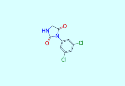 O=C1CNC(=O)N1c1cc(Cl)cc(Cl)c1